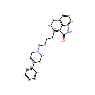 O=C1Nc2cccc3c2C1(CCCCCN1CC=C(c2ccccc2)CC1)CCC3